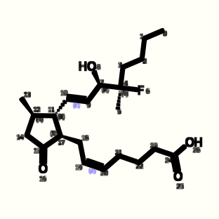 CCCC[C@@](C)(F)[C@H](O)/C=C/[C@H]1[C@H](C)CC(=O)[C@@H]1C/C=C\CCCC(=O)O